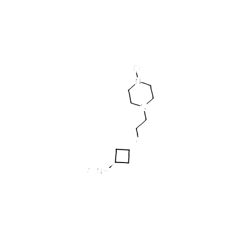 CCN1CCN(CCO[C@H]2C[C@H](NC(C)=O)C2)CC1